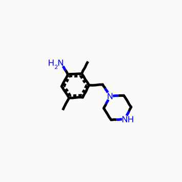 Cc1cc(N)c(C)c(CN2CCNCC2)c1